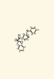 O=S(=O)(Cc1ccccc1)Nc1ccnc(Sc2ccccc2)c1